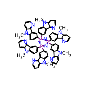 Cn1c2ccc(P3(c4ccc5c(c4)c4ncccc4n5C)=NP(c4ccc5c(c4)c4ncccc4n5C)(c4ccc5c(c4)c4ncccc4n5C)=NP(c4ccc5c(c4)c4ncccc4n5C)(c4ccc5c(c4)c4ncccc4n5C)=N3)cc2c2ncccc21